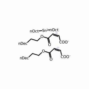 CCCCCCCCCCCCOC(=O)/C=C\C(=O)[O-].CCCCCCCCCCCCOC(=O)/C=C\C(=O)[O-].CCCCCCC[CH2][Sn+2][CH2]CCCCCCC